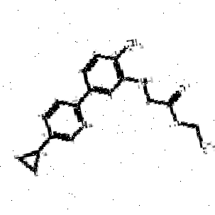 CCOC(=O)CNc1cc(-c2ccc(C3CC3)cn2)ccc1C